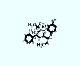 CC[C@H](Oc1ccc(Br)cc1)[C@@H](CCc1cccnc1)O[Si](C)(C)C(C)(C)C